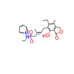 CCNP(=O)(C/C(C)=C/Cc1c(O)c2c(c(C)c1CC)COC2=O)Oc1ccccc1